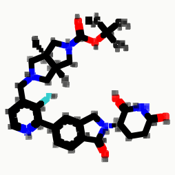 CC(C)(C)OC(=O)N1C[C@@H]2CN(Cc3ccnc(-c4ccc5c(c4)CN([C@H]4CCC(=O)NC4=O)C5=O)c3F)C[C@H]2C1